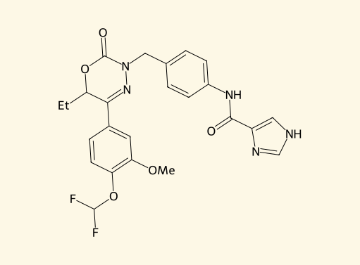 CCC1OC(=O)N(Cc2ccc(NC(=O)c3c[nH]cn3)cc2)N=C1c1ccc(OC(F)F)c(OC)c1